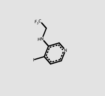 FC(F)(F)CNc1cnccc1I